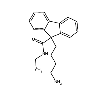 CCNC(=O)C1(CCCCN)c2ccccc2-c2ccccc21